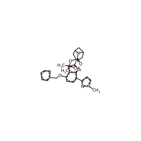 Cn1ccc(-c2ccc(OCc3ccccc3)c3nc(N4CC5CC(C4)N5C(=O)OC(C)(C)C)oc23)n1